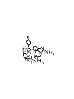 CC(C)Cn1c(N)nc2ccc(-c3nc(-c4c(Cl)cccc4Cl)[nH]c3-c3ccc(F)cc3)nc21.CS(=O)(=O)O